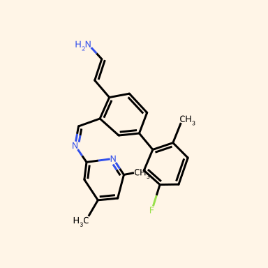 Cc1cc(C)nc(/N=C\c2cc(-c3cc(F)ccc3C)ccc2/C=C/N)c1